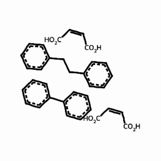 O=C(O)/C=C\C(=O)O.O=C(O)/C=C\C(=O)O.c1ccc(-c2ccccc2)cc1.c1ccc(CCc2ccccc2)cc1